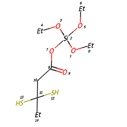 CCO[Si](OCC)(OCC)OC(=O)CC(S)(S)CC